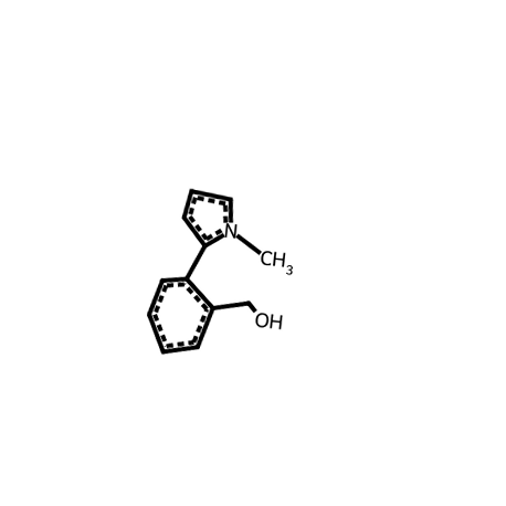 Cn1cccc1-c1ccccc1CO